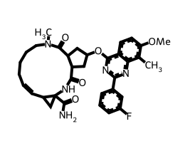 COc1ccc2c(OC3CC4C(=O)NC5(C(N)=O)CC5C=CCCCCN(C)C(=O)C4C3)nc(-c3cccc(F)c3)nc2c1C